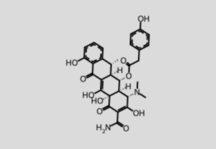 C[C@H]1c2cccc(O)c2C(=O)C2=C(O)[C@]3(O)C(=O)C(C(N)=O)=C(O)[C@@H](N(C)C)[C@@H]3[C@@H](OC(=O)Cc3ccc(O)cc3)[C@@H]21